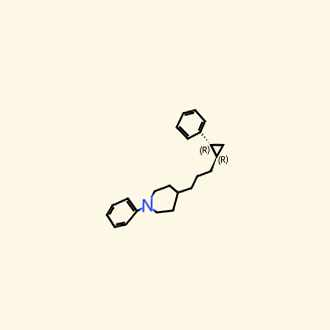 c1ccc([C@@H]2C[C@H]2CCCC2CCN(c3ccccc3)CC2)cc1